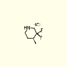 C[C@H]1CCNCC1(F)F.Cl